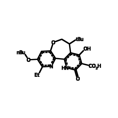 CCCCOc1cc2c(nc1CC)-c1[nH]c(=O)c(C(=O)O)c(O)c1C(C(C)(C)C)CO2